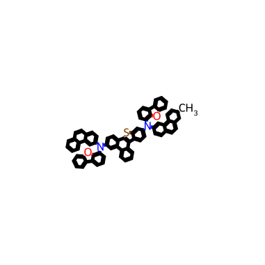 CC1C=Cc2c(ccc3ccc(N(c4ccc5c(c4)sc4c6ccc(N(c7ccc8ccc9ccccc9c8c7)c7cccc8c7oc7ccccc78)cc6c6ccccc6c54)c4cccc5c4oc4ccccc45)cc23)C1